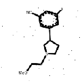 COCCN1CCC(c2cc(F)cc(C#N)c2)C1